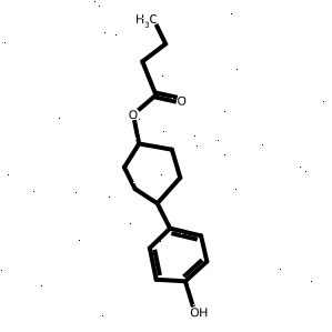 CCCC(=O)OC1CCC(c2ccc(O)cc2)CC1